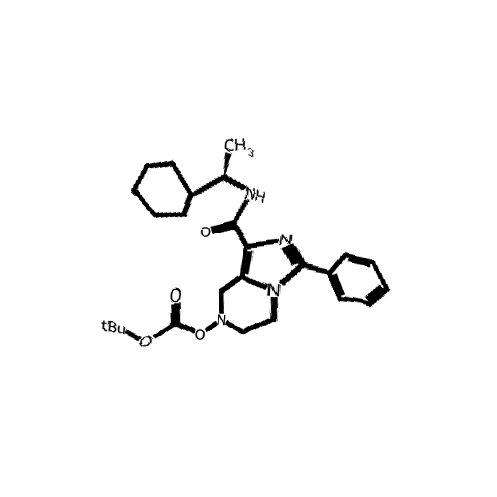 C[C@@H](NC(=O)c1nc(-c2ccccc2)n2c1CN(OC(=O)OC(C)(C)C)CC2)C1CCCCC1